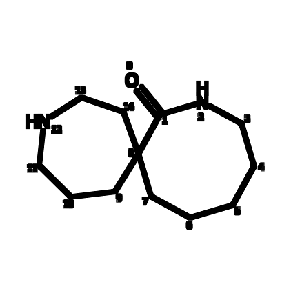 O=C1NCCCCCC12CCCNCC2